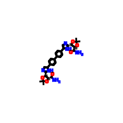 CC1(C)O[C@@H](C(N)=O)[C@H](c2ncc(-c3ccc(-c4ccc(-c5cnc([C@@H]6OC(C)(C)O[C@H]6C(N)=O)[nH]5)cc4)cc3)[nH]2)O1